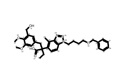 CCC(Cc1cc(CO)c(OC)c(OC)c1)(C(=O)O)c1ccc2c(nnn2CCCCOCc2ccccc2)c1C